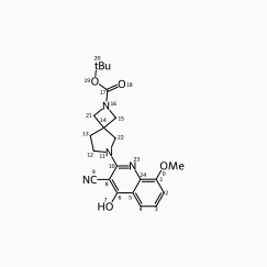 COc1cccc2c(O)c(C#N)c(N3CCC4(CN(C(=O)OC(C)(C)C)C4)C3)nc12